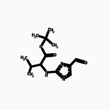 CC(C)C(Nc1ncc(C=O)s1)C(=O)OC(C)(C)C